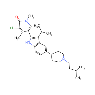 Cc1c(-c2[nH]c3ccc(C4CCN(CCC(C)C)CC4)cc3c2C(C)C)cn(C)c(=O)c1Cl